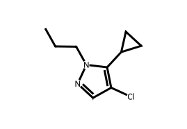 CCCn1n[c]c(Cl)c1C1CC1